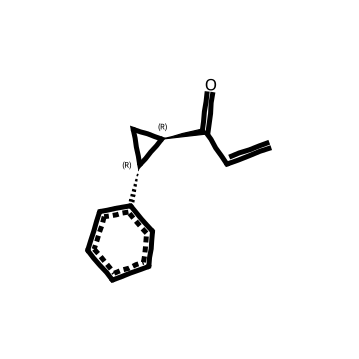 C=CC(=O)[C@@H]1C[C@H]1c1ccccc1